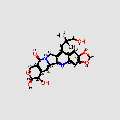 CC(C)(CO)Cc1c2c(nc3cc4c(cc13)OCO4)-c1cc3c(c(=O)n1C2)COC(=O)C3O